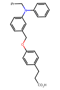 CC(C)CN(c1ccccc1)c1cccc(COc2ccc(CCC(=O)O)cc2)c1